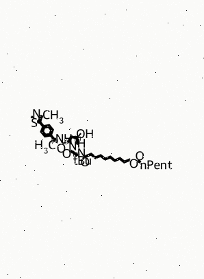 CCCCCC(=O)OCCCCCCCCCC(=O)N[C@H](C(=O)N1C[C@H](O)C[C@H]1C(=O)N[C@H](C)c1ccc(-c2scnc2C)cc1)C(C)(C)C